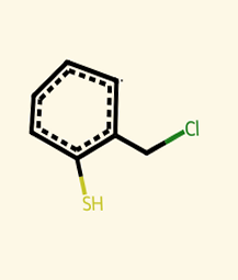 Sc1ccc[c]c1CCl